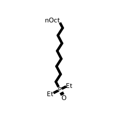 CCCCCCCCCCCCCCCCP(=O)(CC)CC